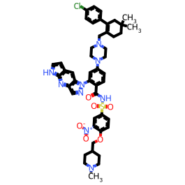 CN1CCC(COc2ccc(S(=O)(=O)NC(=O)c3ccc(N4CCN(CC5=C(c6ccc(Cl)cc6)CC(C)(C)CC5)CC4)cc3-n3ncc4nc5[nH]ccc5cc43)cc2[N+](=O)[O-])CC1